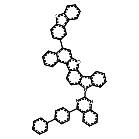 c1ccc(-c2ccc(-c3nc(-n4c5ccccc5c5c6oc7cc(-c8ccc9sc%10ccccc%10c9c8)c8ccccc8c7c6ccc54)nc4ccccc34)cc2)cc1